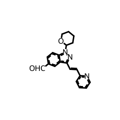 O=Cc1ccc2c(c1)c(C=Cc1ccccn1)nn2C1CCCCO1